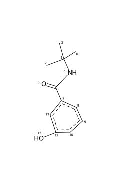 CC(C)(C)NC(=O)c1cccc(O)c1